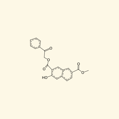 COC(=O)c1ccc2cc(O)c(C(=O)OCC(=O)c3ccccc3)cc2c1